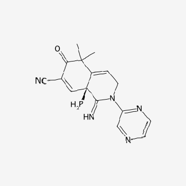 CC1(C)C(=O)C(C#N)=C[C@@]2(P)C(=N)N(c3cnccn3)CC=C12